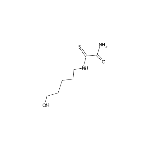 NC(=O)C(=S)NCCCCCO